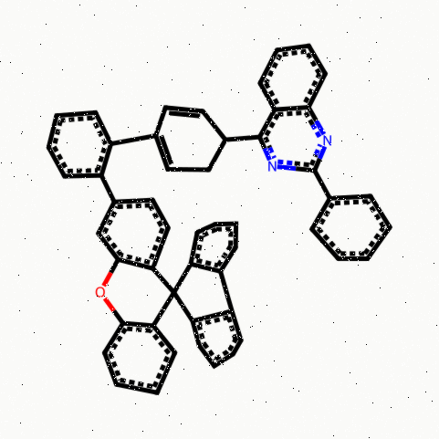 C1=CC(c2nc(-c3ccccc3)nc3ccccc23)CC=C1c1ccccc1-c1ccc2c(c1)Oc1ccccc1C21c2ccccc2-c2ccccc21